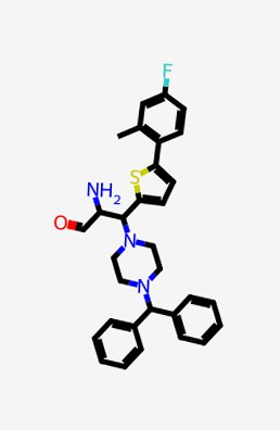 Cc1cc(F)ccc1-c1ccc(C(C(N)C=O)N2CCN(C(c3ccccc3)c3ccccc3)CC2)s1